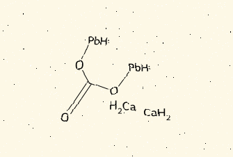 O=C([O][PbH])[O][PbH].[CaH2].[CaH2]